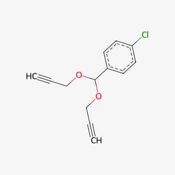 C#CCOC(OCC#C)c1ccc(Cl)cc1